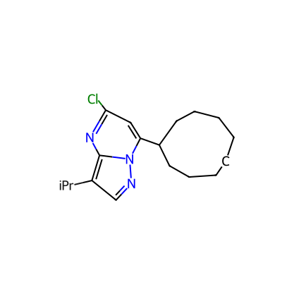 CC(C)c1cnn2c(C3CCCCCCCC3)cc(Cl)nc12